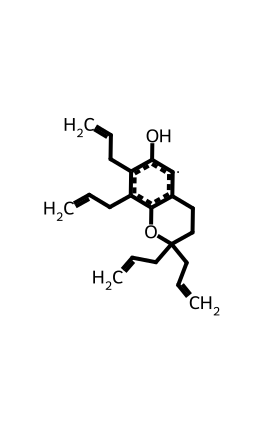 C=CCc1c(O)[c]c2c(c1CC=C)OC(CC=C)(CC=C)CC2